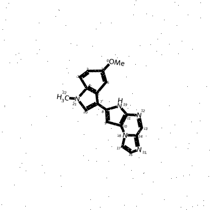 COc1ccc2c(c1)c(-c1cc3c(ncc4nccn43)[nH]1)cn2C